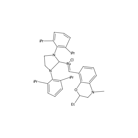 CCC1CN(C)c2cccc([CH]=[Ru]([Cl])[CH]3N(c4c(C(C)C)cccc4C(C)C)CCN3c3c(C(C)C)cccc3C(C)C)c2O1